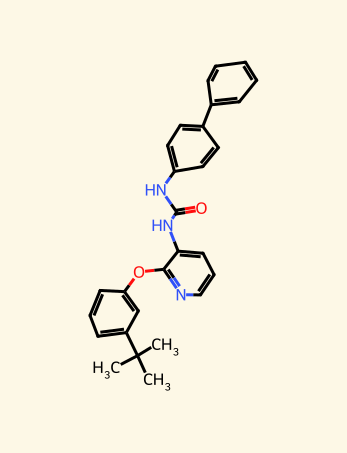 CC(C)(C)c1cccc(Oc2ncccc2NC(=O)Nc2ccc(-c3ccccc3)cc2)c1